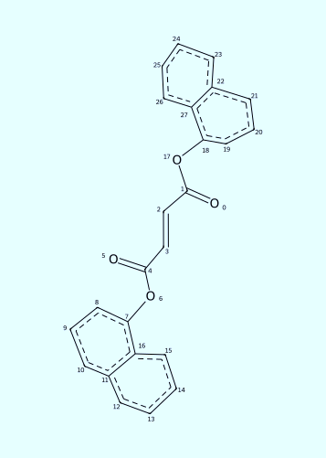 O=C(C=CC(=O)Oc1cccc2ccccc12)Oc1cccc2ccccc12